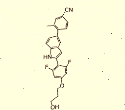 Cc1cc(C#N)ccc1-c1ccc2[nH]c(-c3c(F)cc(OCCCO)cc3F)cc2c1